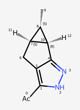 CC(=O)c1[nH]nc2c1C[C@H]1[C@H](C)[C@@H]21